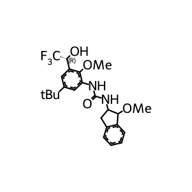 COc1c(NC(=O)NC2Cc3ccccc3C2OC)cc(C(C)(C)C)cc1[C@@H](O)C(F)(F)F